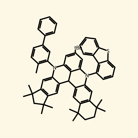 Cc1ccc(-c2ccccc2)cc1N1c2cc3c(cc2C2c4cc5c(cc4N(c4cccc6sc7ccccc7c46)c4cc(C(C)(C)C)cc1c42)C(C)(C)CCC5(C)C)C(C)(C)CC3(C)C